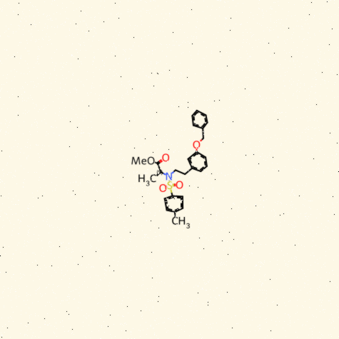 COC(=O)[C@H](C)N(CCc1cccc(OCc2ccccc2)c1)S(=O)(=O)c1ccc(C)cc1